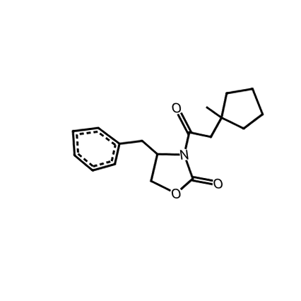 CC1(CC(=O)N2C(=O)OCC2Cc2ccccc2)CCCC1